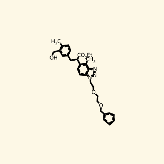 CCOC(=O)C(Cc1ccc(C)c(CO)c1)c1ccc2c(nnn2CCOCCOCc2ccccc2)c1C